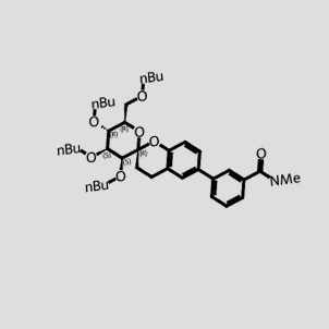 CCCCOC[C@H]1O[C@@]2(CCc3cc(-c4cccc(C(=O)NC)c4)ccc3O2)[C@@H](OCCCC)[C@@H](OCCCC)[C@@H]1OCCCC